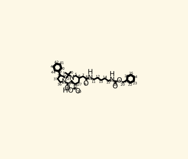 CC(C)(C)N1CC(CC(=O)NCCCCCNC(=O)OCc2ccccc2)C[C@H](C(=O)O)[C@H]1C(=O)N1CCC(c2ccccc2)C1